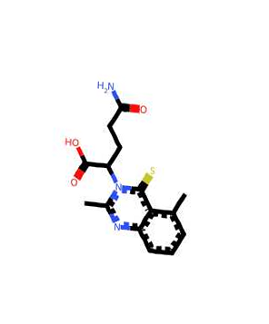 Cc1cccc2nc(C)n(C(CCC(N)=O)C(=O)O)c(=S)c12